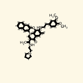 C=C(NCCN1CCCC1)c1cn2c3c(c(NCCc4ccc(OC)c(OC)c4)c(F)cc3c1=O)Oc1cc3ccccc3cc1-2